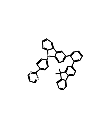 CC1(C)c2ccccc2-c2ccc(-c3ccccc3-c3ccc4c(c3)c3ccccc3n4-c3ccc(-c4ncccn4)cc3)cc21